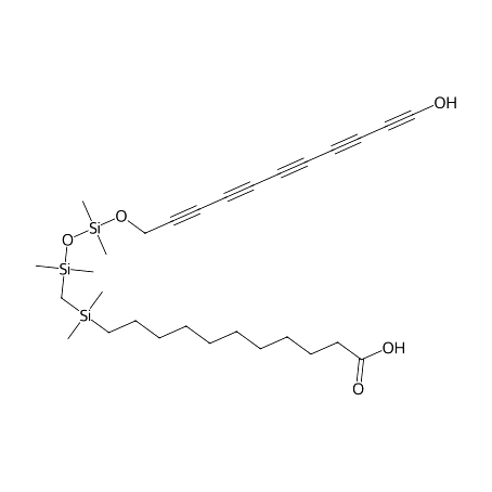 C[Si](C)(CCCCCCCCCCC(=O)O)C[Si](C)(C)O[Si](C)(C)OCC#CC#CC#CC#CC#CO